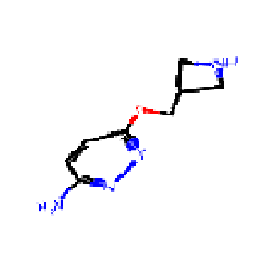 Nc1ccc(OCC2CNC2)nn1